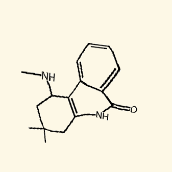 CNC1CC(C)(C)Cc2[nH]c(=O)c3ccccc3c21